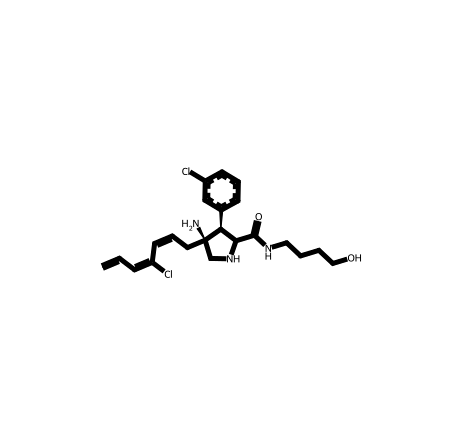 C=C/C=C(Cl)\C=C/C[C@@]1(N)CNC(C(=O)NCCCCO)[C@@H]1c1cccc(Cl)c1